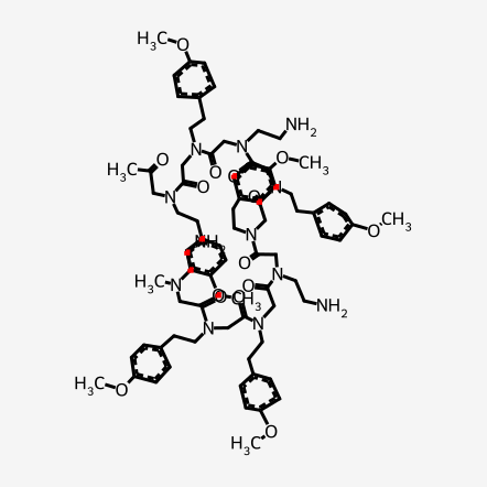 COc1ccc(CCN(CC(C)=O)C(=O)CN(CCc2ccc(OC)cc2)C(=O)CN(CCN)C(=O)CN(CCc2ccc(OC)cc2)C(=O)CN(CCc2ccc(OC)cc2)C(=O)CN(CCN)C(=O)CN(CCc2ccc(OC)cc2)C(=O)CN(CCc2ccc(OC)cc2)C(=O)CN(C)CCN)cc1